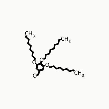 CCCCCCCCCOc1cc(C=O)cc(OCCCCCCCCC)c1OCCCCCCCCC